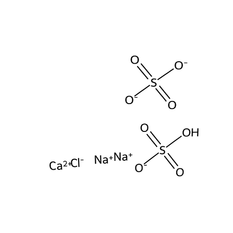 O=S(=O)([O-])O.O=S(=O)([O-])[O-].[Ca+2].[Cl-].[Na+].[Na+]